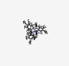 CC(=C(C#N)c1c(F)c(F)c(C#N)c(F)c1F)C(/C=C(\C#N)c1c(F)c(F)c(C#N)c(F)c1F)=C(\C#N)c1c(F)c(F)c(C#N)c(F)c1F